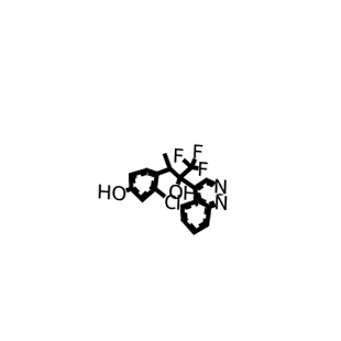 CC(c1ccc(O)cc1Cl)C(O)(c1cnnc2ccccc12)C(F)(F)F